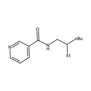 CCCCC(CC)CNC(=O)c1cc[c]nc1